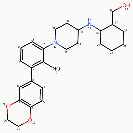 O=Nc1c(-c2ccc3c(c2)OCCO3)cccc1N1CCC(NC2CCCCC2CO)CC1